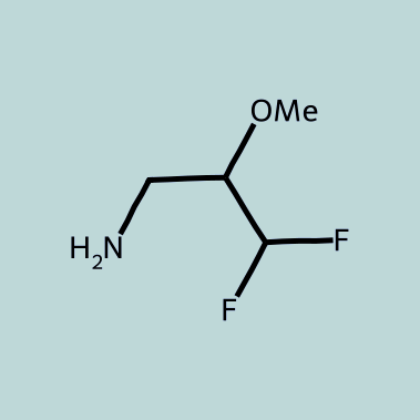 COC(CN)C(F)F